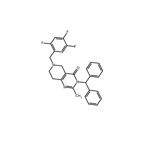 Cc1nc2c(c(=O)n1C(c1ccccc1)c1ccccc1)CN(Cc1cc(F)c(F)cc1F)CC2